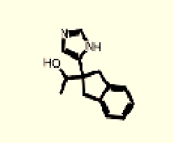 CC(O)C1(c2cnc[nH]2)Cc2ccccc2C1